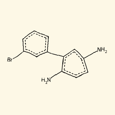 Nc1ccc(N)c(-c2cccc(Br)c2)c1